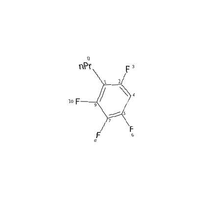 CCCc1c(F)cc(F)c(F)c1F